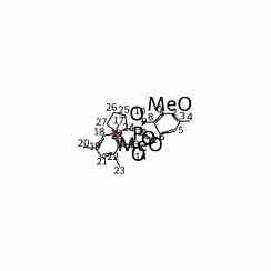 COc1cc(C)cc(OC)c1C(=O)P(=O)(C(=O)c1c(C)cc(C)cc1C)C1CCCC1